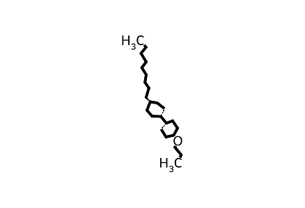 CCCCCCCCC[C@H]1CC[C@H]([C@H]2CC[C@H](OCCC)CC2)CC1